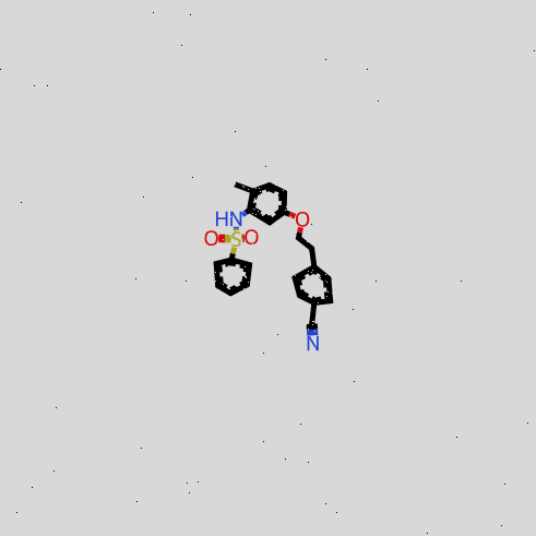 Cc1ccc(OCCc2ccc(C#N)cc2)cc1NS(=O)(=O)c1ccccc1